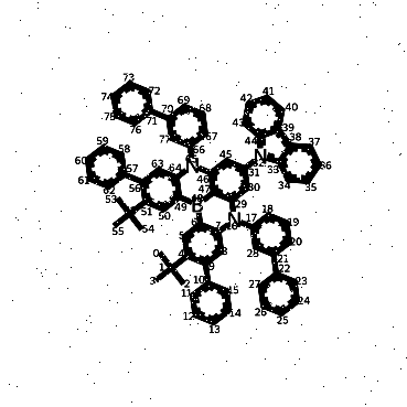 CC(C)(C)c1cc2c(cc1-c1ccccc1)N(c1cccc(-c3ccccc3)c1)c1cc(-n3c4ccccc4c4ccccc43)cc3c1B2c1cc(C(C)(C)C)c(-c2ccccc2)cc1N3c1cccc(-c2ccccc2)c1